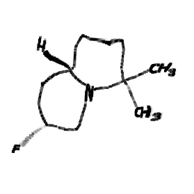 CC1(C)CC[C@H]2C[C@@H](F)CN21